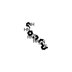 Cc1cccc(-c2nccc(Nc3ccnc(Nc4ccc(NC[C@H]5CCCN5)cc4)n3)n2)n1